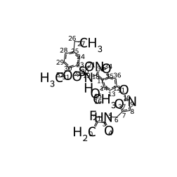 C=C(F)C(=O)NCc1cnc(Oc2cc(OC)c3c(NS(=O)(=O)c4cc(CC)ccc4OC)noc3c2)o1